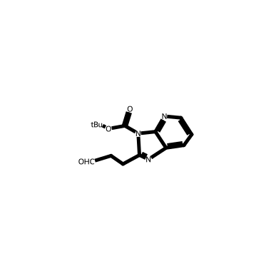 CC(C)(C)OC(=O)n1c(CCC=O)nc2cccnc21